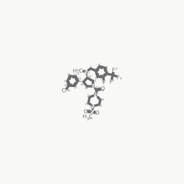 CN(Cc1ccc(C(F)(F)F)c(F)c1)[C@H]1CN(C(=O)N2CCN(S(C)(=O)=O)CC2)C[C@@H]1c1cccc(Cl)c1